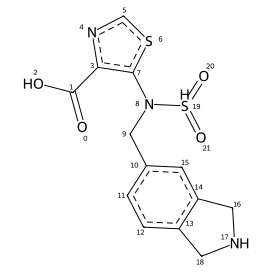 O=C(O)c1ncsc1N(Cc1ccc2c(c1)CNC2)[SH](=O)=O